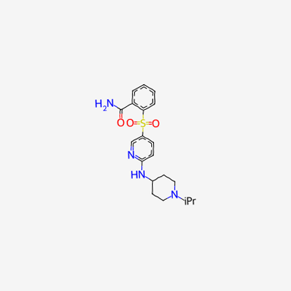 CC(C)N1CCC(Nc2ccc(S(=O)(=O)c3ccccc3C(N)=O)cn2)CC1